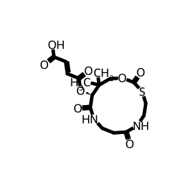 CC1(C)COC(=O)SCCNC(=O)CCNC(=O)[C@@H]1OC(=O)/C=C/C(=O)O